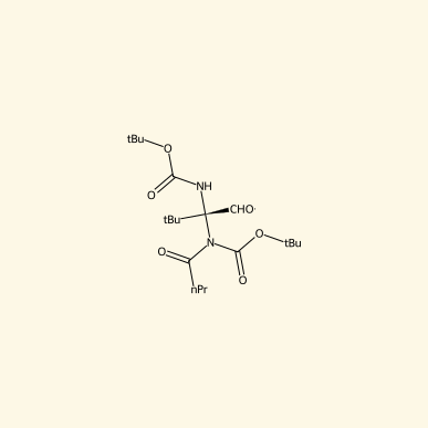 CCCC(=O)N(C(=O)OC(C)(C)C)[C@@]([C]=O)(NC(=O)OC(C)(C)C)C(C)(C)C